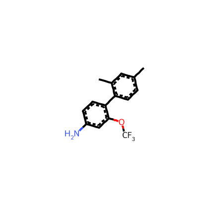 Cc1ccc(-c2ccc(N)cc2OC(F)(F)F)c(C)c1